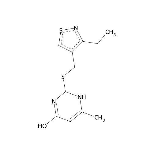 CCc1nscc1CSC1N=C(O)C=C(C)N1